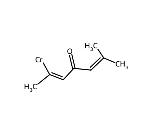 CC(C)=CC(=O)C=[C](C)[Cr]